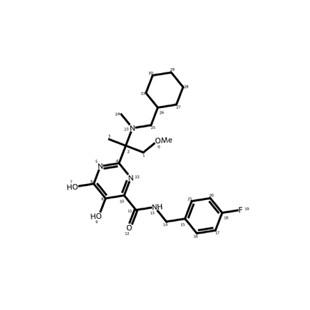 COCC(C)(c1nc(O)c(O)c(C(=O)NCc2ccc(F)cc2)n1)N(C)CC1CCCCC1